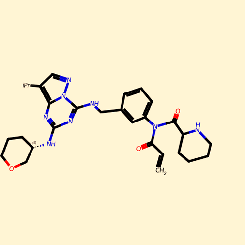 C=CC(=O)N(C(=O)C1CCCCN1)c1cccc(CNc2nc(N[C@H]3CCCOC3)nc3c(C(C)C)cnn23)c1